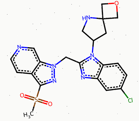 CS(=O)(=O)c1nn(Cc2nc3cc(Cl)ccc3n2C2CNC3(COC3)C2)c2cnccc12